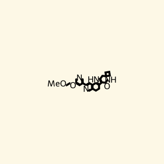 COCCOc1cncc(-c2cc3c(cn2)CCc2c-3[nH]c3c2C(=O)NC2(CCC2)C3)c1